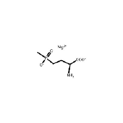 CP(=O)([O-])CCC(N)C(=O)[O-].[Mg+2]